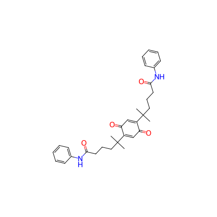 CC(C)(CCCC(=O)Nc1ccccc1)C1=CC(=O)C(C(C)(C)CCCC(=O)Nc2ccccc2)=CC1=O